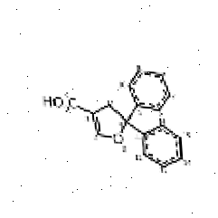 O=C(O)C1=COC(c2ccccc2)(c2ccccc2)C1